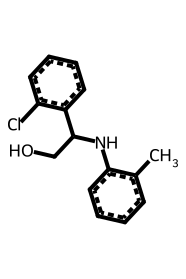 Cc1ccccc1NC(CO)c1ccccc1Cl